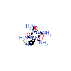 NC(=O)CN1CCN(CC(N)=O)CCN(CC(N)=O)C(Cc2ccc(N=C=S)cc2)CN(CC(N)=O)CC1